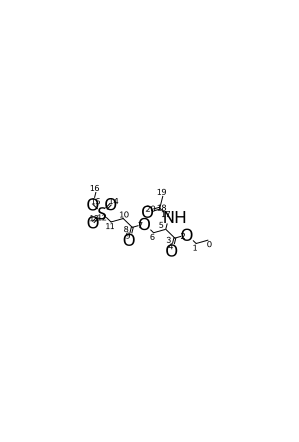 CCOC(=O)C(COC(=O)CCS(=O)(=O)OC)NC(C)=O